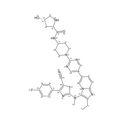 CCc1nc2ccc(-c3cnc(N4CCC(NC(=O)C5C[C@H](O)CN5)CC4)nc3)cn2c1N(C)c1nc(-c2ccc(F)cc2)c(C#N)s1